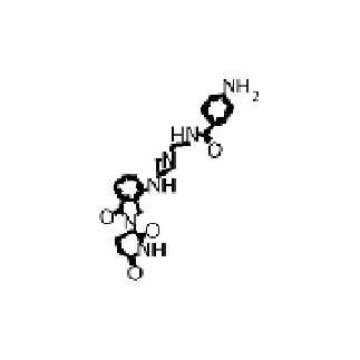 Nc1ccc(C(=O)NCCN2CC(Nc3cccc4c3CN(C3CCC(=O)NC3=O)C4=O)C2)cc1